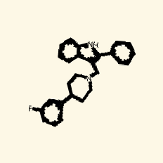 Fc1cccc(C2CCN(Cc3c(-c4ccccc4)[nH]c4ccccc34)CC2)c1